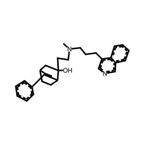 CN(CCCc1cncc2ccccc12)CCC1(O)CC2CCC1C=C2c1ccccc1